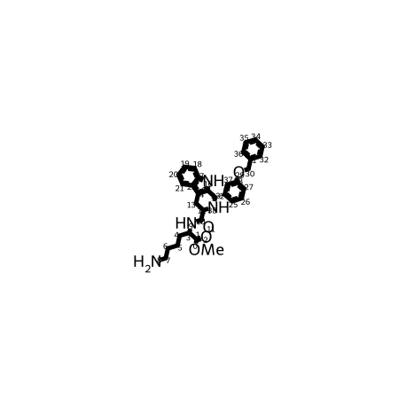 COC(=O)C(CCCCN)NC(=O)C1Cc2c([nH]c3ccccc23)[C@H](c2cccc(OCc3ccccc3)c2)N1